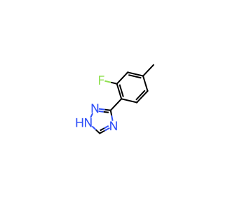 Cc1ccc(-c2nc[nH]n2)c(F)c1